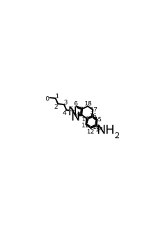 CCCCCn1cc2c(n1)-c1ccc(N)cc1CC2